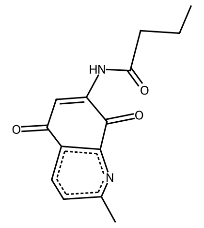 CCCC(=O)NC1=CC(=O)c2ccc(C)nc2C1=O